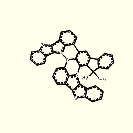 CC1(C)c2ccccc2-c2cc3c4c(c21)-n1c2c(cccc2c2sc5ccccc5c21)B4n1c2c-3cccc2c2sc3ccccc3c21